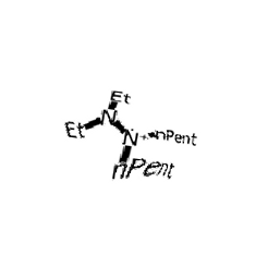 CCCCC[N+](CCCCC)N(CC)CC